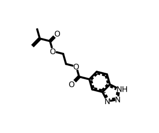 C=C(C)C(=O)OCCOC(=O)c1ccc2[nH]nnc2c1